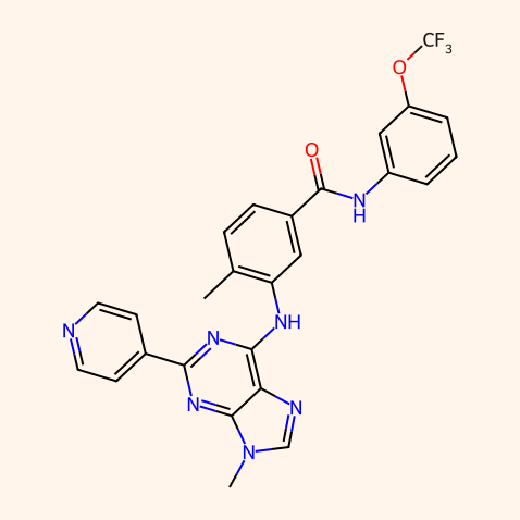 Cc1ccc(C(=O)Nc2cccc(OC(F)(F)F)c2)cc1Nc1nc(-c2ccncc2)nc2c1ncn2C